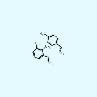 C=Cc1ccc(C)cc1.C=Cc1cccc(C)c1C